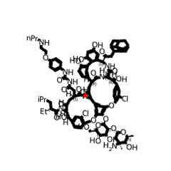 CCCNCCOc1ccc(NC(=O)NC(=O)C[C@@H]2CC(=O)[C@H](NC(=O)[C@H](CC)CC(C)C)[C@H](O)c3ccc(c(Cl)c3)Oc3cc4cc(c3O[C@@H]3O[C@H](CO)[C@@H](O)[C@H](O)[C@H]3O[C@H]3C[C@](C)(N)[C@H](O)[C@H](C)O3)Oc3ccc(cc3Cl)[C@@H](O)[C@@H]3NC(=O)[C@H](CC(=O)[C@@H]4NC2=O)c2ccc(O)c(c2)-c2c(O)cc(O)cc2[C@@H](C(=O)CC2C4CC5CC(C4)CC2C5)NC3=O)cc1